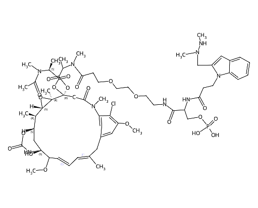 CNN(C)Cc1cc2ccccc2n1CCC(=O)NC(COP(=O)(O)O)C(=O)NCCOCCOCCC(=O)N(C)C(C)C(=O)O[C@]1(OC(=O)[C@H](C)N(C)C(C)=O)CC(=O)N(C)c2cc(cc(OC)c2Cl)C/C(C)=C/C=C/C(OC)[C@@]2(O)C[C@H](OC(=O)N2)[C@@H](C)[C@@H]2O[C@]21C